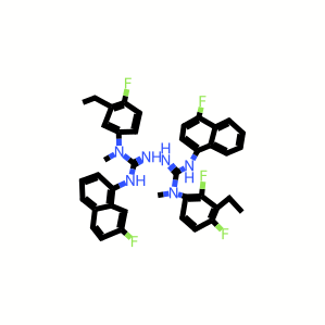 CCc1c(F)ccc(N(C)C(=N)Nc2ccc(F)c3ccccc23)c1F.CCc1cc(N(C)C(=N)Nc2cccc3ccc(F)cc23)ccc1F